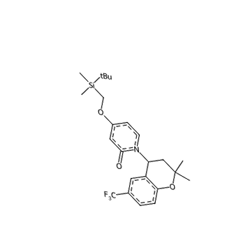 CC1(C)CC(n2ccc(OC[Si](C)(C)C(C)(C)C)cc2=O)c2cc(C(F)(F)F)ccc2O1